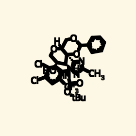 Cc1nc([C@@]23OC(c4ccccc4)OC[C@H]2OC[C@H](O)[C@H]3NNC(=O)OC(C)(C)C)n(-c2cc(Cl)c(Cl)cc2C(F)(F)F)n1